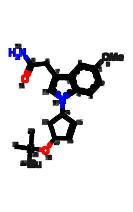 COc1ccc2c(c1)c(CC(N)=O)cn2C1C=C[C@@H](O[Si](C)(C)C(C)(C)C)C1